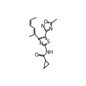 C/C=C\C=C(/C)c1nc(NC(=O)C2CC2)sc1-c1noc(C)n1